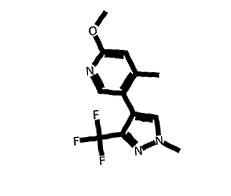 COc1cc(C)c(-c2cn(C)nc2C(F)(F)F)cn1